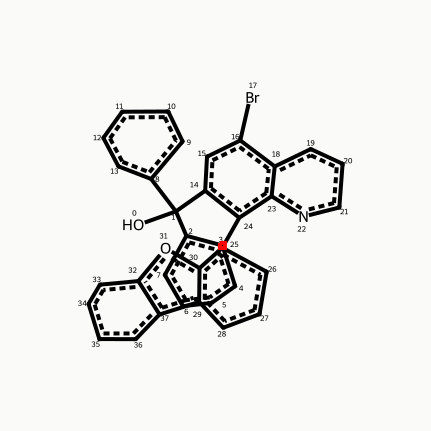 OC(c1ccccc1)(c1ccccc1)c1cc(Br)c2cccnc2c1-c1cccc2c1oc1ccccc12